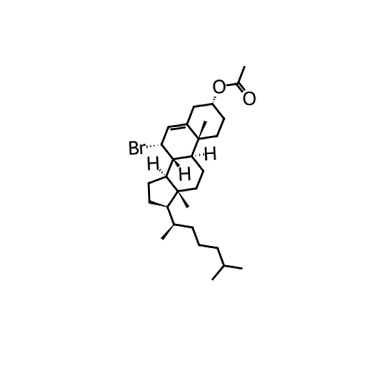 CC(=O)O[C@@H]1CC[C@@]2(C)C(=C[C@@H](Br)[C@H]3[C@@H]4CC[C@H]([C@H](C)CCCC(C)C)[C@@]4(C)CC[C@@H]32)C1